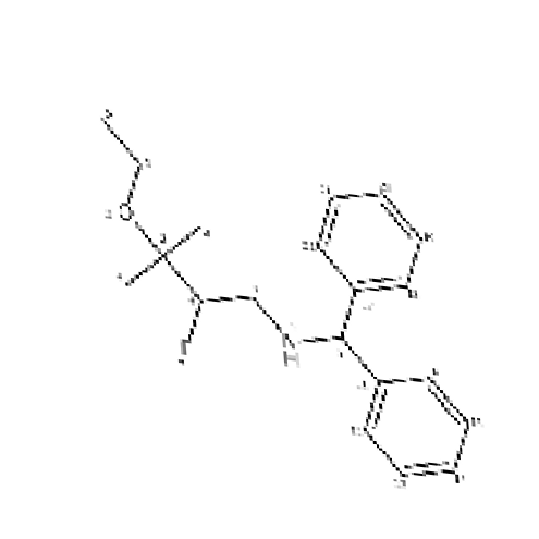 C[CH]OC(C)(C)C(F)CNC(c1ccccc1)c1ccccc1